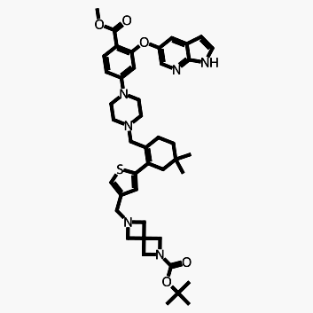 COC(=O)c1ccc(N2CCN(CC3=C(c4cc(CN5CC6(C5)CN(C(=O)OC(C)(C)C)C6)cs4)CC(C)(C)CC3)CC2)cc1Oc1cnc2[nH]ccc2c1